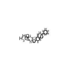 CC1(O)CCC(Oc2ccc3c(c2)CCC(c2ccccc2)O3)CC1